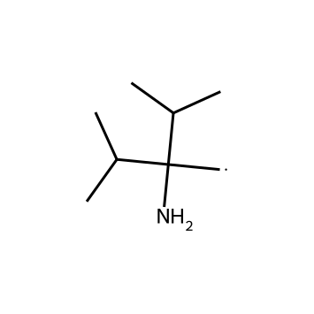 [CH2]C(N)(C(C)C)C(C)C